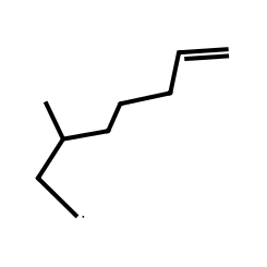 [CH2]CC(C)CCCC=C